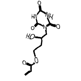 C=CC(=O)OCCC(O)Cn1c(=O)[nH]c(=O)[nH]c1=O